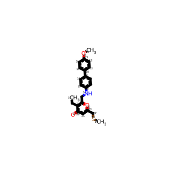 CCc1c(CNc2ccc(-c3ccc(OC)cc3)cc2)oc(CSC)cc1=O